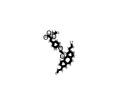 CCCc1ccc2c(c1)C=Cc1ccc(CCC)cc1C2OCCOc1ccc(CC(OCC)C(=O)O)cc1